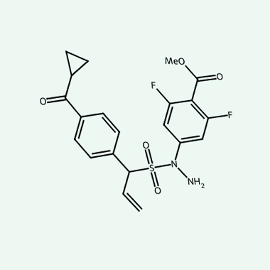 C=CC(c1ccc(C(=O)C2CC2)cc1)S(=O)(=O)N(N)c1cc(F)c(C(=O)OC)c(F)c1